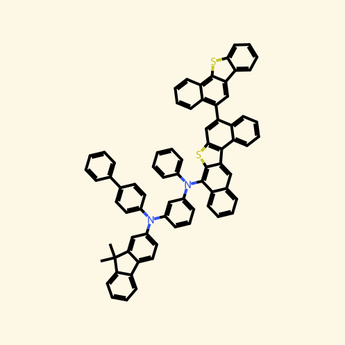 CC1(C)c2ccccc2-c2ccc(N(c3ccc(-c4ccccc4)cc3)c3cccc(N(c4ccccc4)c4c5ccccc5cc5c4sc4cc(-c6cc7c8ccccc8sc7c7ccccc67)c6ccccc6c45)c3)cc21